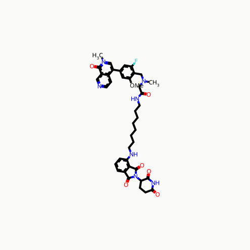 COc1cc(-c2cn(C)c(=O)c3cnccc23)cc(F)c1CN(C)CC(=O)NCCCCCCCCNc1cccc2c1C(=O)N(C1CCC(=O)NC1=O)C2=O